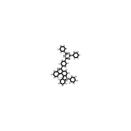 c1ccc(-c2nc(-c3ccccc3)nc(-c3ccc(-c4nc5ccccc5c5c4ccc4c5c5ccccc5n4-c4ccccc4)cc3)n2)cc1